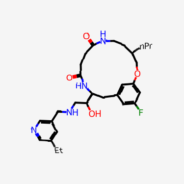 CCCC1CCNC(=O)CCC(=O)NC(C(O)CNCc2cncc(CC)c2)Cc2cc(F)cc(c2)OC1